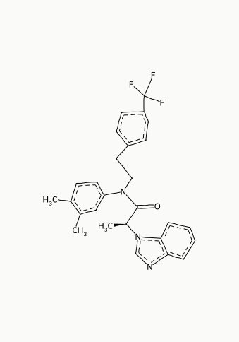 Cc1ccc(N(CCc2ccc(C(F)(F)F)cc2)C(=O)[C@H](C)n2cnc3ccccc32)cc1C